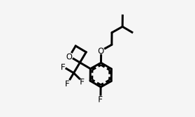 CC(C)CCOc1ccc(F)cc1C1(C(F)(F)F)CCO1